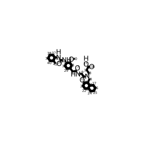 COc1cc(CC(=O)NCC(=O)N(CCC(=O)O)Cc2cccc3ccccc23)ccc1NC(=O)Nc1ccccc1C